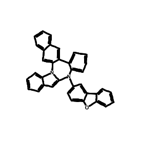 c1ccc2c(c1)-c1cc3ccccc3cc1-n1c(cc3ccccc31)N2c1ccc2oc3ccccc3c2c1